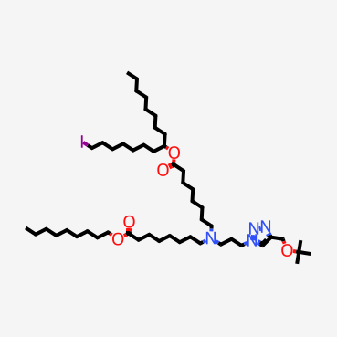 CCCCCCCCCOC(=O)CCCCCCCN(CCCCCCCC(=O)OC(CCCCCCCC)CCCCCCCI)CCCn1cc(COC(C)(C)C)nn1